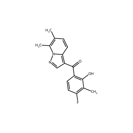 Cc1ccc2c(C(=O)c3ccc(F)c(C)c3O)cnn2c1C